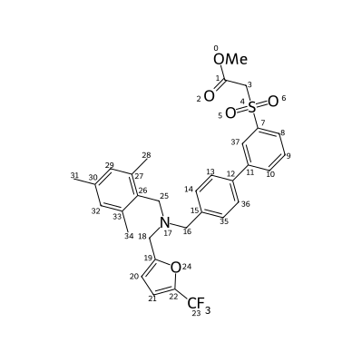 COC(=O)CS(=O)(=O)c1cccc(-c2ccc(CN(Cc3ccc(C(F)(F)F)o3)Cc3c(C)cc(C)cc3C)cc2)c1